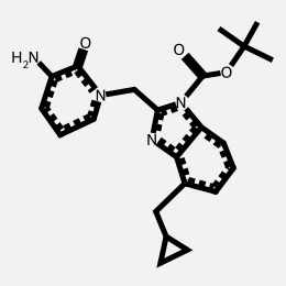 CC(C)(C)OC(=O)n1c(Cn2cccc(N)c2=O)nc2c(CC3CC3)cccc21